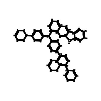 C1=CCC(c2ccc(N(c3ccc(-c4ccc(-c5ccccc5)c5c4C=CCC5)cc3)c3cncc4cc5c(cc34)oc3ccccc35)cc2)C=C1